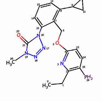 CCc1nc(OCc2c(C3CC3)cccc2-n2nnn(C)c2=O)ccc1P